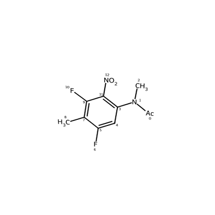 CC(=O)N(C)c1cc(F)c(C)c(F)c1[N+](=O)[O-]